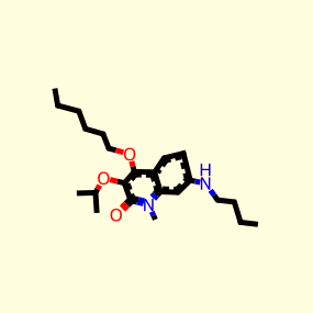 CCCCCCOc1c(OC(C)C)c(=O)n(C)c2cc(NCCCC)ccc12